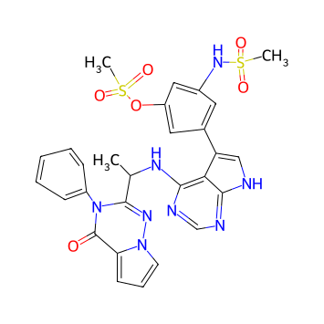 CC(Nc1ncnc2[nH]cc(-c3cc(NS(C)(=O)=O)cc(OS(C)(=O)=O)c3)c12)c1nn2cccc2c(=O)n1-c1ccccc1